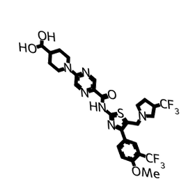 COc1ccc(-c2nc(NC(=O)c3cnc(N4CCC(C(O)O)CC4)cn3)sc2CN2CCC(C(F)(F)F)C2)cc1C(F)(F)F